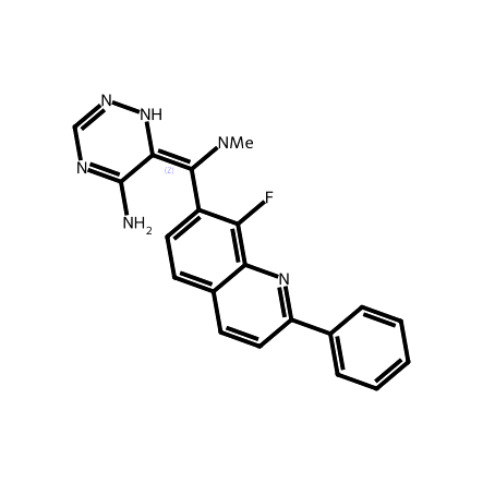 CN/C(=C1\NN=CN=C1N)c1ccc2ccc(-c3ccccc3)nc2c1F